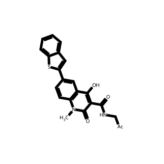 CC(=O)CNC(=O)c1c(O)c2cc(-c3cc4ccccc4s3)ccc2n(C)c1=O